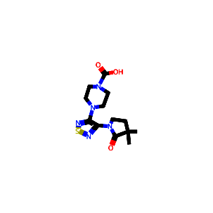 CC1(C)CCN(c2nsnc2N2CCN(C(=O)O)CC2)C1=O